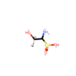 C[C@H](O)C(N)S(=O)O